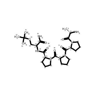 C[C@H](N)C(=O)N1CCC[C@H]1C(=O)N1CCC[C@H]1C(=O)N1CCC[C@H]1C(=O)N[C@@H](COC(C)(C)C)C(N)=O